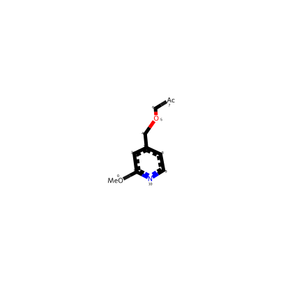 COc1cc(COCC(C)=O)ccn1